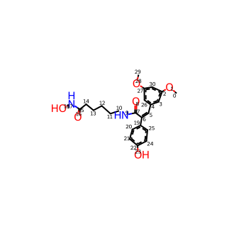 COc1cc(/C=C(\C(=O)NCCCCCC(=O)NO)c2ccc(O)cc2)cc(OC)c1